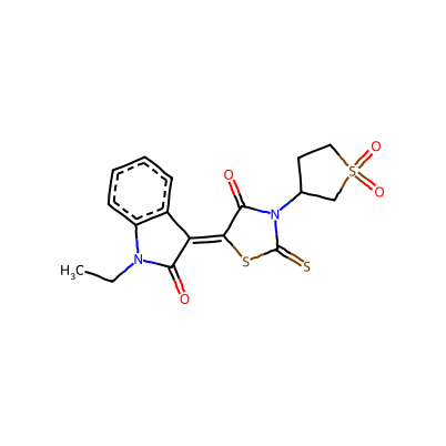 CCN1C(=O)/C(=C2\SC(=S)N(C3CCS(=O)(=O)C3)C2=O)c2ccccc21